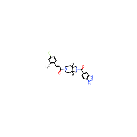 O=C(/C=C/c1ccc(F)cc1C(F)(F)F)N1CC[C@@H]2CN(C(=O)c3ccc4[nH]nnc4c3)C[C@@H]2CC1